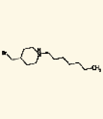 CCCCCCC[Si@H]1CC[C@H](CBr)CC1